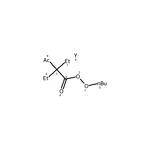 CCCCOOC(=O)C(CC)(CC)C(C)=O.[Y]